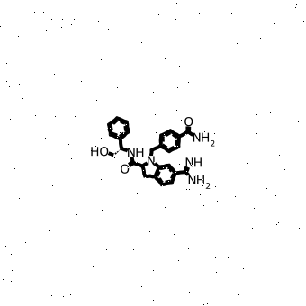 N=C(N)c1ccc2c(c1)N(Cc1ccc(C(N)=O)cc1)C(C(=O)N[C@H](CO)c1ccccc1)C2